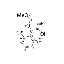 COCO[C@@H](c1c(Cl)cccc1Cl)[C@@H](O)C(C)C